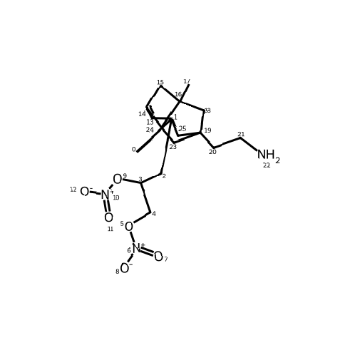 CC1(CC(CO[N+](=O)[O-])O[N+](=O)[O-])C=C2CC3(C)CC(CCN)(CC23)C1